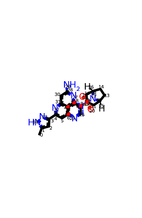 Cc1cc(-c2ccc3c(N[C@H]4C[C@H]5CC[C@@H](C4)N5S(=O)(=O)c4cccnc4)nc(N)cc3n2)n[nH]1